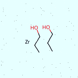 CCCO.CCCO.[Zr]